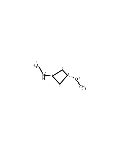 CN[C@H]1C[C@H](OC)C1